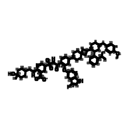 COc1ccc(CN2CCN(C3CC4(CCN(c5ccc(C(=O)NS(=O)(=O)c6cnc(NCC7CCC(C)(O)CC7)c([N+](=O)[O-])c6)c(Oc6cnc7[nH]cc(F)c7c6)c5)CC4)C3)[C@H](c3ccccc3C(C)C)C2)cc1